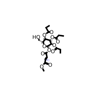 CCC(=O)O[C@@H]1[C@@H](OC(=O)CC)[C@@H](OC(=O)/C=C/C(=O)OC)O[C@H](CO)[C@H]1OC(=O)CC